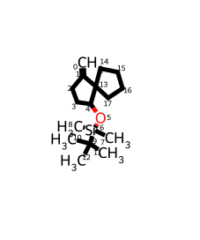 C=C1CCC(O[Si](C)(C)C(C)(C)C)C12CCCC2